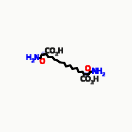 NC(=O)/C=C(\CCCCCCCCCCCC/C(=C\C(N)=O)C(=O)O)C(=O)O